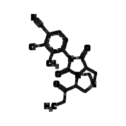 CCC(=O)C1CN2CC3C(=O)N(c4ccc(C#N)c(Cl)c4C)C(=O)[N+]13C2